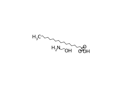 CCCCCCCCCCCCCCCCS(=O)(=O)O.NCCO